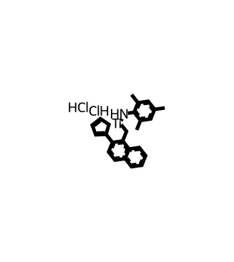 Cc1cc(C)c([NH][Ti][CH2]c2c(C3=CC=CC3)ccc3ccccc23)c(C)c1.Cl.Cl